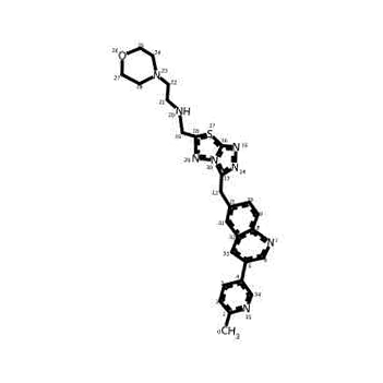 Cc1ccc(-c2cnc3ccc(Cc4nnc5sc(CNCCN6CCOCC6)nn45)cc3c2)cn1